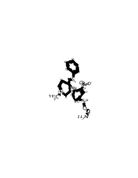 CN1CCC(CSc2ccccc2)(Nc2ccc(SOON)cc2[N+](=O)[O-])CC1